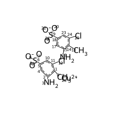 Cc1c(N)cc(S(=O)(=O)[O-])cc1Cl.Cc1c(N)cc(S(=O)(=O)[O-])cc1Cl.[Cu+2]